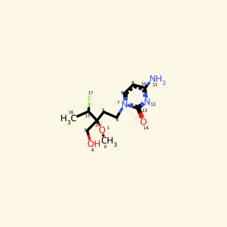 COC(CO)(CCn1ccc(N)nc1=O)C(C)F